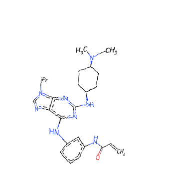 C=CC(=O)Nc1cccc(Nc2nc(N[C@H]3CC[C@@H](N(C)C)CC3)nc3c2ncn3C(C)C)c1